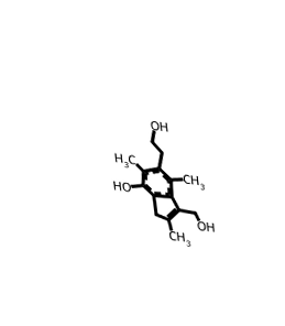 CC1=C(CO)c2c(C)c(CCO)c(C)c(O)c2C1